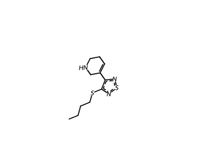 CCCCSc1nsnc1C1=CCCNC1